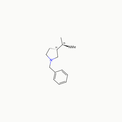 CN[C@H](C)[C@H]1CCN(Cc2ccccc2)C1